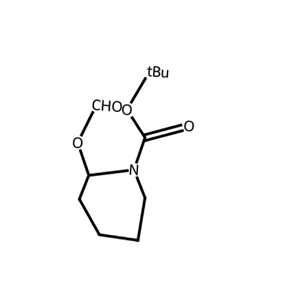 CC(C)(C)OC(=O)N1CCCCC1OC=O